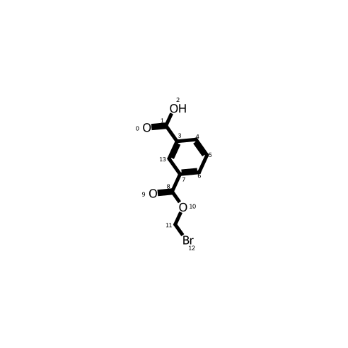 O=C(O)c1cccc(C(=O)OCBr)c1